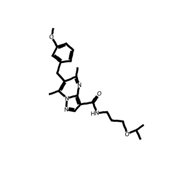 COc1cccc(Cc2c(C)nc3c(C(=O)NCCCOC(C)C)cnn3c2C)c1